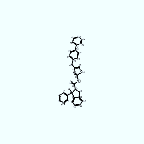 CC1(c2cccnc2)c2ccccc2CC1C(=O)Nc1nc(Cc2ccc(-c3ccncc3)cc2)cs1